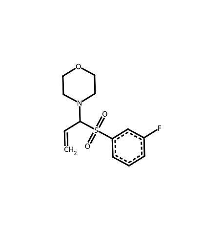 C=CC(N1CCOCC1)S(=O)(=O)c1cccc(F)c1